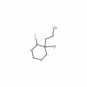 OCCC1(O)CCCCC1I